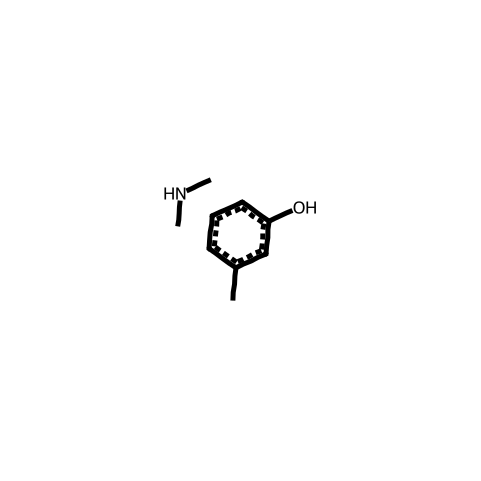 CNC.Cc1cccc(O)c1